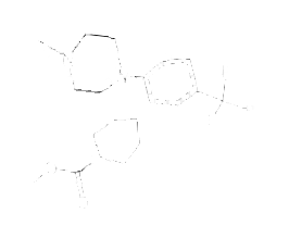 COC(=O)[C@H]1CC[C@H](c2cc(C(F)(F)F)ccc2N2CCN(C)CC2)CC1